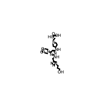 O=P(O)(O)CCN1CCC(Nc2cc(N3CCS(=O)(=O)CC3)nc(NCc3cn(CCCO)nn3)n2)CC1